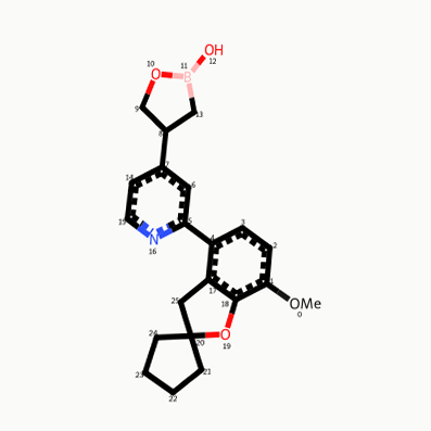 COc1ccc(-c2cc(C3COB(O)C3)ccn2)c2c1OC1(CCCC1)C2